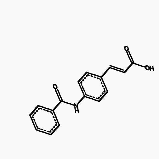 O=C(O)/C=C/c1ccc(NC(=O)c2ccccc2)cc1